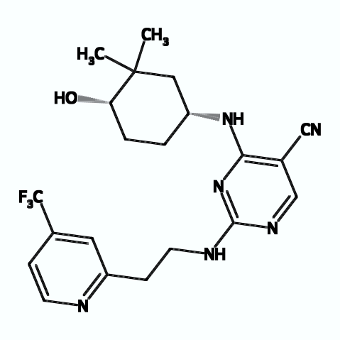 CC1(C)C[C@H](Nc2nc(NCCc3cc(C(F)(F)F)ccn3)ncc2C#N)CC[C@@H]1O